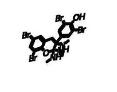 CNC1(NC)Oc2c(Br)cc(Br)cc2CC1(NC)c1cc(Br)c(O)c(Br)c1